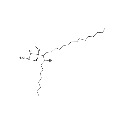 CCCCCCCCCCCCCCCC(C(S)CCCCCCCC)C(OC)(OC)C(=O)O[SiH3]